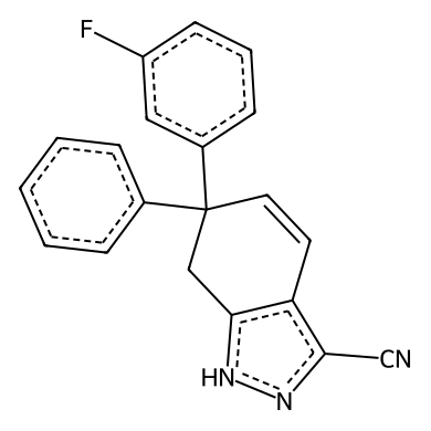 N#Cc1n[nH]c2c1C=CC(c1ccccc1)(c1cccc(F)c1)C2